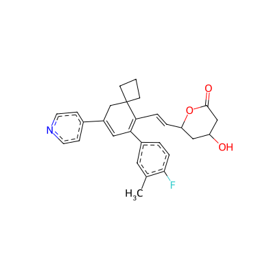 Cc1cc(C2=C(C=CC3CC(O)CC(=O)O3)C3(CCC3)CC(c3ccncc3)=C2)ccc1F